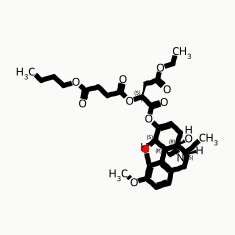 CCCCOC(=O)CCC(=O)O[C@@H](CC(=O)OCC)C(=O)OC1=CC[C@]2(O)[C@@H]3Cc4ccc(OC)c5c4[C@]2(CCN3C)[C@@H]1O5